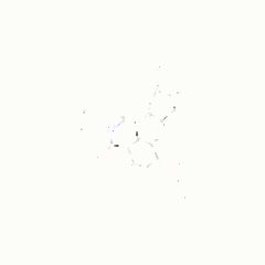 O=c1c2ccc(OC3CC3)cc2c(-c2cccc(F)c2)cn1C1CC1